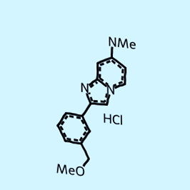 CNc1ccn2cc(-c3cccc(COC)c3)nc2c1.Cl